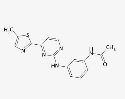 CC(=O)Nc1cccc(Nc2nccc(-c3ncc(C)s3)n2)c1